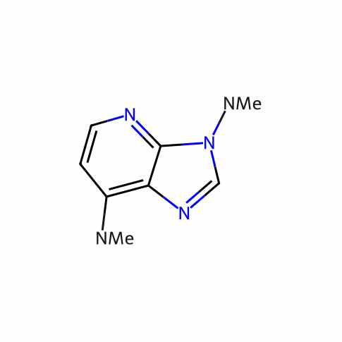 CNc1ccnc2c1ncn2NC